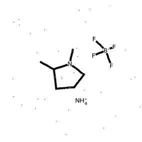 CC1CCCN1C.F[B-](F)(F)F.[NH4+]